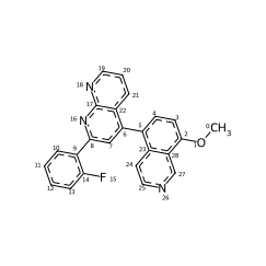 COc1ccc(-c2cc(-c3ccccc3F)nc3ncccc23)c2ccncc12